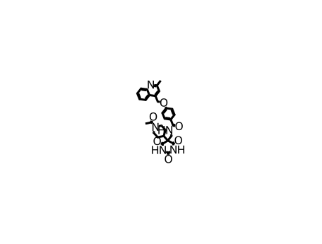 CC(=O)N1CCC(C2(CNC(=O)c3ccc(OCc4cc(C)nc5ccccc45)cc3)C(=O)NC(=O)NC2=O)CC1